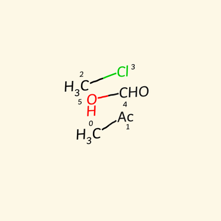 CC(C)=O.CCl.O=CO